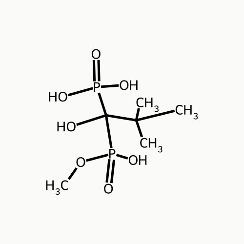 COP(=O)(O)C(O)(C(C)(C)C)P(=O)(O)O